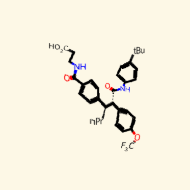 CCC[C@@H](c1ccc(C(=O)NCCC(=O)O)cc1)[C@H](C(=O)Nc1ccc(C(C)(C)C)cc1)c1ccc(OC(F)(F)F)cc1